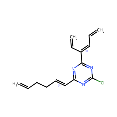 C=C/C=C(\C=C)c1nc(Cl)nc(/C=C/CCC=C)n1